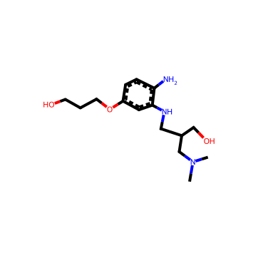 CN(C)CC(CO)CNc1cc(OCCCO)ccc1N